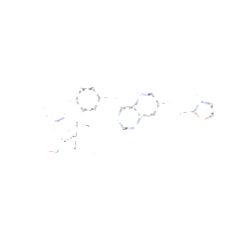 C[C@]1(c2cc(Nc3ncnc4cc(OCc5ncco5)cnc34)ccc2F)N=C(N)S[C@]2(CO)[C@H]1C2(F)F